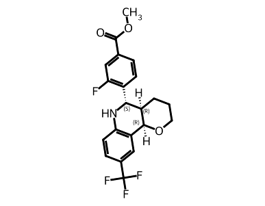 COC(=O)c1ccc([C@H]2Nc3ccc(C(F)(F)F)cc3[C@@H]3OCCC[C@H]23)c(F)c1